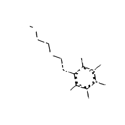 COCCOCCc1c(F)c(F)c(F)c(F)c1F